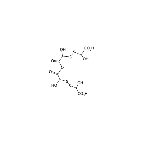 O=C(O)C(O)SSC(O)C(=O)OC(=O)C(O)SSC(O)C(=O)O